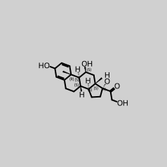 C[C@]12C=CC(O)C=C1CC[C@@H]1[C@@H]2[C@@H](O)C[C@@]2(C)[C@H]1CC[C@]2(O)C(=O)CO